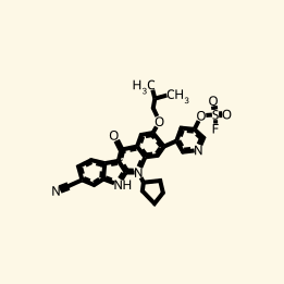 CC(C)COc1cc2c(=O)c3c4ccc(C#N)cc4[nH]c3n(C3CCCC3)c2cc1-c1cncc(OS(=O)(=O)F)c1